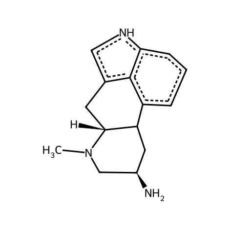 CN1C[C@H](N)CC2c3cccc4[nH]cc(c34)C[C@H]21